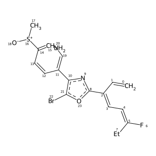 C=C/C(=C\C=C(\F)CC)c1nc(C(/C=C\C(=C)[S+](C)[O-])=C/N)c(Br)o1